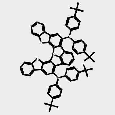 CC(C)(C)c1ccc(N(c2ccc(C(C)(C)C)cc2)c2cc3c4ccccc4oc3c3c2c2cccc4c5c(N(c6ccc(C(C)(C)C)cc6)c6ccc(C(C)(C)C)cc6)cc6c7ccccc7oc6c5n3c24)cc1